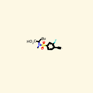 [C]#Cc1ccc(S(=O)(=O)N(C)C(C(=O)O)C(C)CC)cc1F